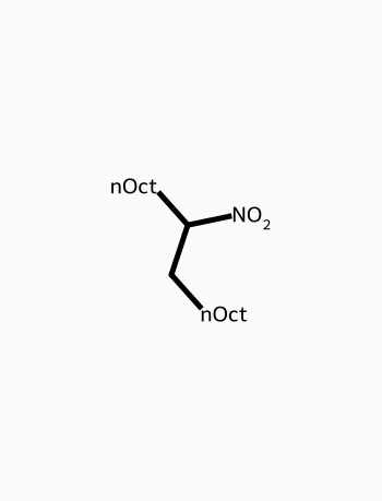 CCCCCCCCCC(CCCCCCCC)[N+](=O)[O-]